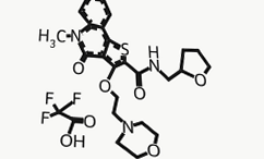 Cn1c(=O)c2c(OCCN3CCOCC3)c(C(=O)NCC3CCCO3)sc2c2ccccc21.O=C(O)C(F)(F)F